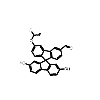 O=Cc1ccc2c(c1)-c1cc(OC(F)F)ccc1C21c2cc(O)ccc2-c2ccc(O)cc21